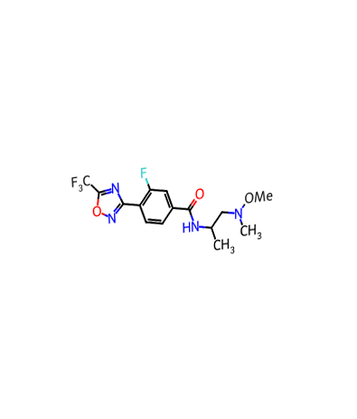 CON(C)CC(C)NC(=O)c1ccc(-c2noc(C(F)(F)F)n2)c(F)c1